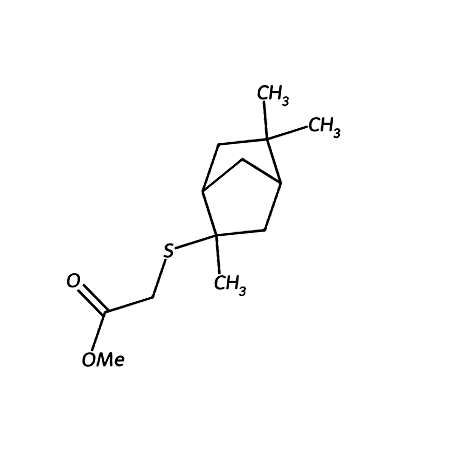 COC(=O)CSC1(C)CC2CC1CC2(C)C